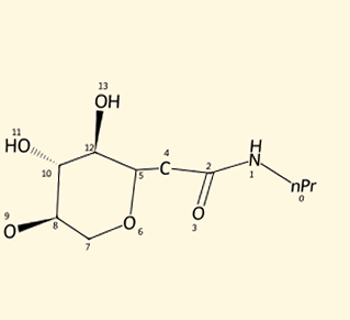 CCCNC(=O)CC1OC[C@@H](O)[C@H](O)[C@H]1O